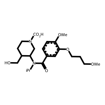 COCCCOc1cc(C(=O)N(C(C)C)C2CN(C(=O)O)CCC2CO)ccc1OC